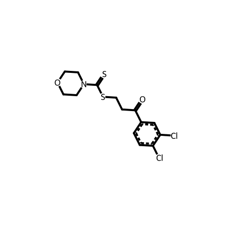 O=C(CCSC(=S)N1CCOCC1)c1ccc(Cl)c(Cl)c1